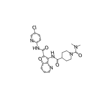 CN(C)C(=O)N1CCC(C(=O)Nc2c(C(=O)Nc3ccc(Cl)cn3)oc3cccnc23)CC1